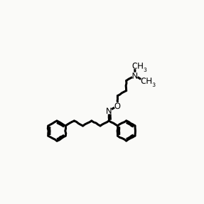 CN(C)CCCON=C(CCCCc1ccccc1)c1ccccc1